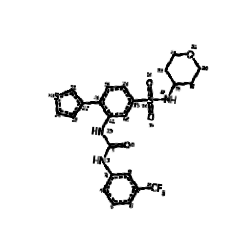 O=C(Nc1cccc(C(F)(F)F)c1)Nc1cc(S(=O)(=O)NC2CCOCC2)ccc1-c1ccsc1